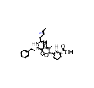 C/C=C/CC(=O)N[C@@H](CCc1ccccc1)C(=O)N[C@@H](C)C(=O)N1CCC[C@@H](C(=O)O)N1